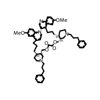 COc1ccc2nccc(CCC[C@@H]3CCN(CCCc4ccccc4)C[C@@H]3COC(=O)C(=O)OC[C@H]3CN(CCCc4ccccc4)CC[C@H]3CCCc3ccnc4ccc(OC)cc34)c2c1